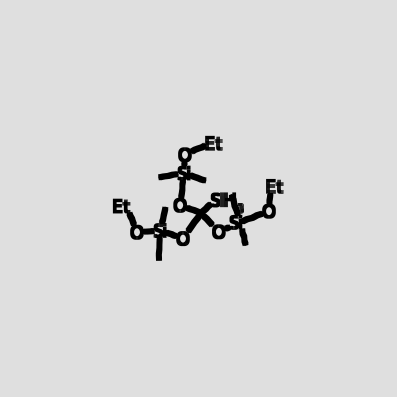 CCO[Si](C)(C)OC([SiH3])(O[Si](C)(C)OCC)O[Si](C)(C)OCC